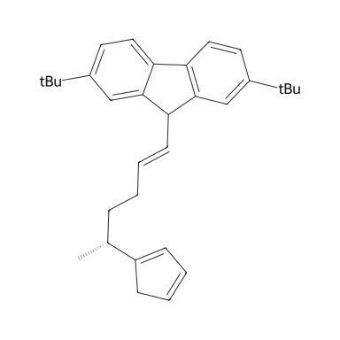 C[C@H](CCC=CC1c2cc(C(C)(C)C)ccc2-c2ccc(C(C)(C)C)cc21)C1=CC=CC1